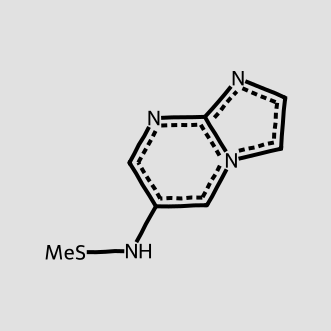 CSNc1cnc2nccn2c1